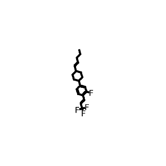 CCC/C=C/C1CCC(c2ccc(/C=C/C(F)(F)F)c(F)c2)CC1